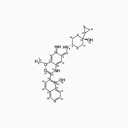 COC1=CC(=N)/C(=C\N[C@H]2CC[C@@](O)(C3CC3)CC2)C=C1NC(=O)c1ccc2ccccc2[n+]1O